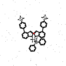 C[Si](C)(C)c1ccc(-c2cccc3c2C=C[CH]3[Hf]([CH3])([CH3])([CH]2C=Cc3c(-c4ccc([Si](C)(C)C)cc4)cccc32)=[Si](c2ccccc2)c2ccccc2)cc1